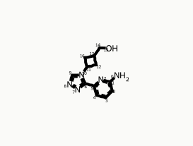 Nc1cccc(-c2nncn2C2CC(CO)C2)n1